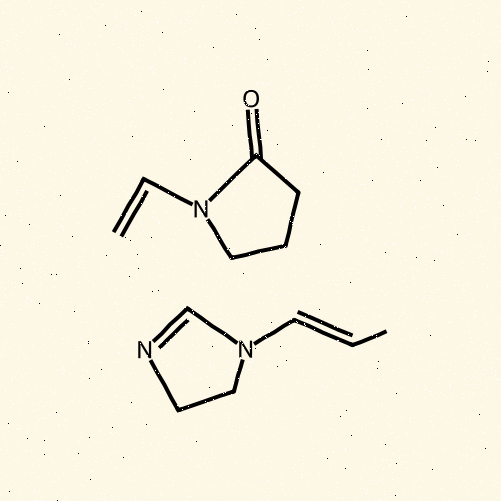 C=CN1CCCC1=O.CC=CN1C=NCC1